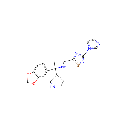 CC(NCc1nc(-n2ccnc2)ns1)(c1ccc2c(c1)OCO2)C1CCNC1